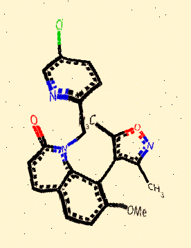 COc1ccc2ccc(=O)n(Cc3ccc(Cl)cn3)c2c1-c1c(C)noc1C